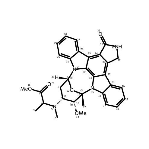 COC(=O)C(C)N(C)[C@@H]1C[C@H]2O[C@@](C)([C@@H]1OC)n1c3ccccc3c3c4c(c5c6ccccc6n2c5c31)C(=O)NC4